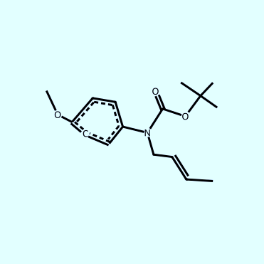 C/C=C/CN(C(=O)OC(C)(C)C)c1ccc(OC)cc1